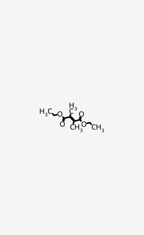 CCOC(=O)/C(C)=C(\C)C(=O)OCC